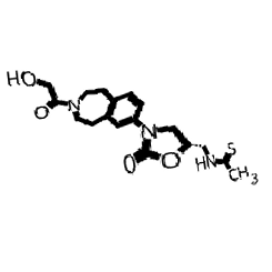 CC(=S)NC[C@H]1CN(c2ccc3c(c2)CCN(C(=O)CO)CC3)C(=O)O1